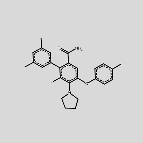 Cc1ccc(Oc2cc(C(N)=O)c(-c3cc(C)cc(C)c3)c(F)c2N2CCCC2)cc1